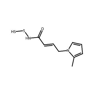 Cc1cccn1C/C=C/C(=O)NSS